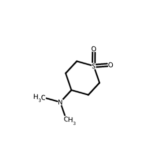 CN(C)C1CCS(=O)(=O)CC1